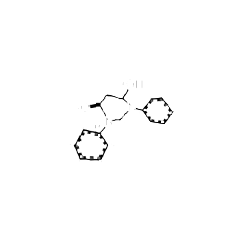 O=C1CC(O)N(c2ccccc2)CN1c1ccccc1